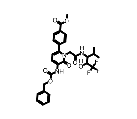 COC(=O)c1ccc(-c2ccc(NC(=O)OCc3ccccc3)c(=O)n2CC(=O)NC(C(C)C)C(O)C(F)(F)F)cc1